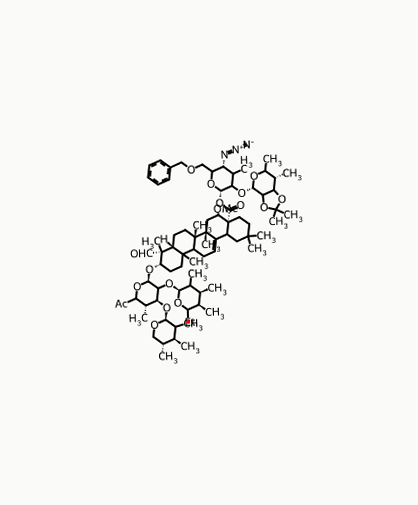 CCC1O[C@@H](OC2[C@H](O[C@H]3CCC4(C)C5CC=C6C7CC(C)(C)CC[C@]7(C(=O)O[C@@H]7OC(COCc8ccccc8)[C@H](N=[N+]=[N-])C(C)C7O[C@@H]7OC(C)[C@H](C)C8OC(C)(C)OC87)C(OC)C[C@@]6(C)[C@@]5(C)CC[C@H]4[C@@]3(C)C=O)OC(C(C)=O)[C@@H](C)[C@@H]2O[C@@H]2OC[C@@H](C)[C@H](C)C2C)C(C)[C@@H](C)[C@H]1C